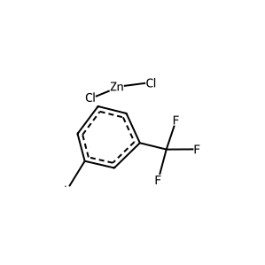 [CH2]c1cccc(C(F)(F)F)c1.[Cl][Zn][Cl]